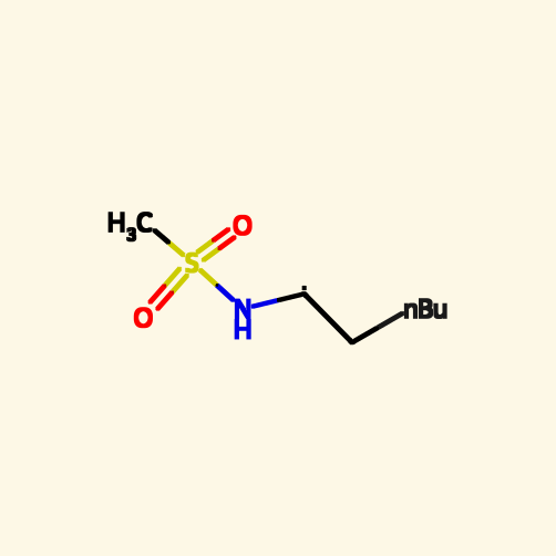 CCCCC[CH]NS(C)(=O)=O